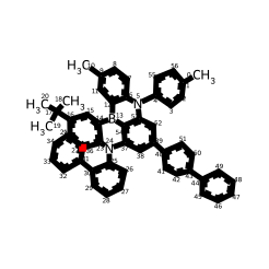 Cc1ccc(N2c3ccc(C)cc3B3c4cc(C(C)(C)C)ccc4N(c4ccccc4-c4ccccc4)c4cc(-c5ccc(-c6ccccc6)cc5)cc2c43)cc1